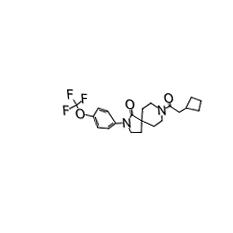 O=C(CC1CCC1)N1CCC2(CC1)CCN(c1ccc(OC(F)(F)F)cc1)C2=O